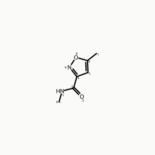 [CH2]NC(=O)c1cc(C)on1